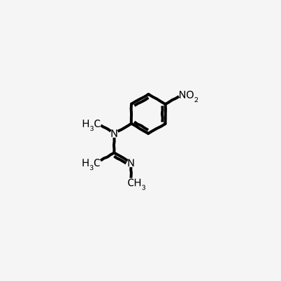 CN=C(C)N(C)c1ccc([N+](=O)[O-])cc1